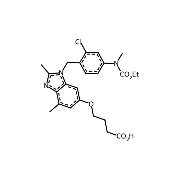 CCOC(=O)N(C)c1ccc(Cn2c(C)nc3c(C)cc(OCCCC(=O)O)cc32)c(Cl)c1